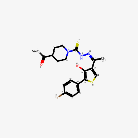 COC(=O)C1CCN(C(=S)NN=C(C)c2csc(-c3ccc(Br)cc3)c2O)CC1